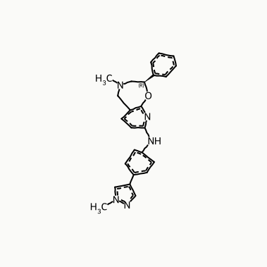 CN1Cc2ccc(Nc3ccc(-c4cnn(C)c4)cc3)nc2O[C@H](c2ccccc2)C1